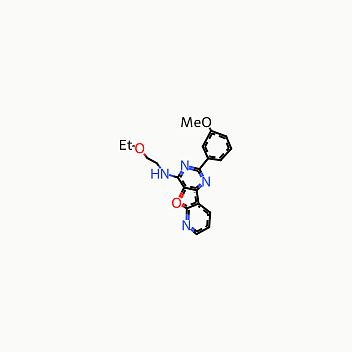 CCOCCNc1nc(-c2cccc(OC)c2)nc2c1oc1ncccc12